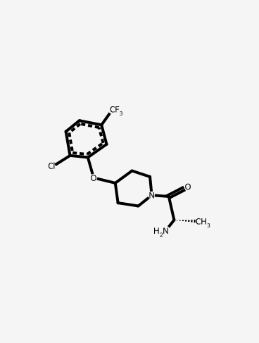 C[C@H](N)C(=O)N1CCC(Oc2cc(C(F)(F)F)ccc2Cl)CC1